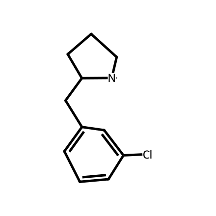 Clc1cccc(CC2CCC[N]2)c1